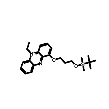 CC[n+]1c2ccccc2nc2c(OCCCO[Si](C)(C)C(C)(C)C)cccc21